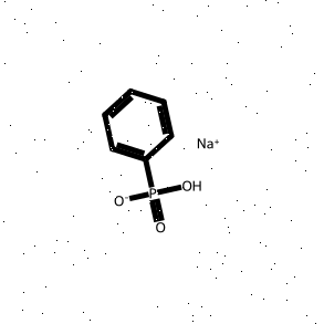 O=P([O-])(O)c1ccccc1.[Na+]